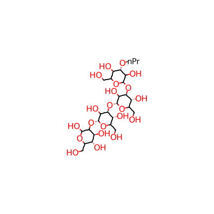 CCCO[C@@H]1C(O)[C@@H](O[C@@H]2C(O)[C@@H](O[C@@H]3C(O)[C@@H](OC4C(O)OC(CO)[C@@H](O)[C@@H]4O)OC(CO)[C@H]3O)OC(CO)[C@H]2O)OC(CO)[C@H]1O